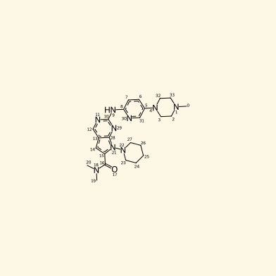 CN1CCN(c2ccc(Nc3ncc4cc(C(=O)N(C)C)n(N5CCCCC5)c4n3)nc2)CC1